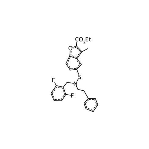 CCOC(=O)c1oc2ccc(SN(CCc3ccccc3)Cc3c(F)cccc3F)cc2c1C